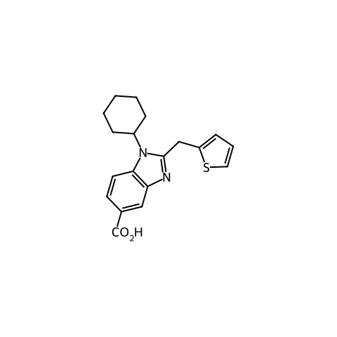 O=C(O)c1ccc2c(c1)nc(Cc1cccs1)n2C1CCCCC1